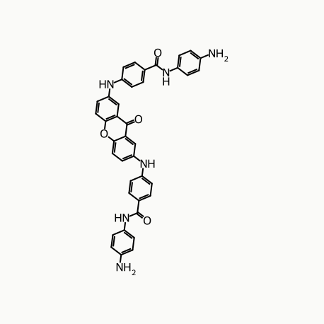 Nc1ccc(NC(=O)c2ccc(Nc3ccc4oc5ccc(Nc6ccc(C(=O)Nc7ccc(N)cc7)cc6)cc5c(=O)c4c3)cc2)cc1